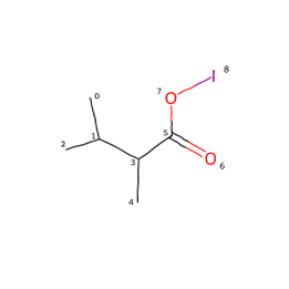 CC(C)C(C)C(=O)OI